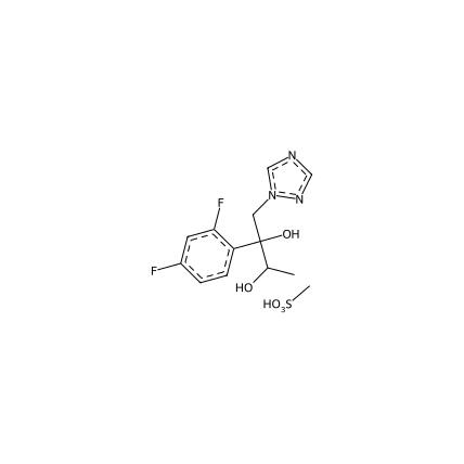 CC(O)C(O)(Cn1cncn1)c1ccc(F)cc1F.CS(=O)(=O)O